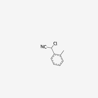 Cc1ccccc1C(Cl)C#N